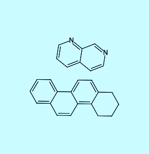 c1ccc2c(c1)ccc1c3c(ccc12)CCCC3.c1cnc2cnccc2c1